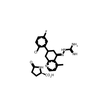 Cc1ccnc2c1C(=NNC(=N)N)CC(c1cc(F)ccc1Cl)C2.O=C1CC[C@H](C(=O)O)N1